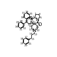 O=C1C2CCCN2C(=O)C2(CCN(CCCc3ccccc3)CC2)N1CC(c1ccccc1)c1ccccc1